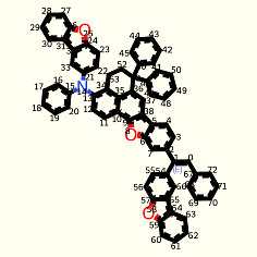 C(=C(\c1ccc2c(c1)oc1c3ccc(N(c4ccccc4)c4ccc5oc6ccccc6c5c4)c4c3c(cc21)C(c1ccccc1)(c1ccccc1)CC4)c1ccc2oc3ccccc3c2c1)/c1ccccc1